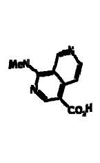 CNc1ncc(C(=O)O)c2ccncc12